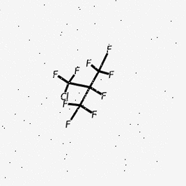 FC(F)(F)C(F)(C(F)(F)F)C(F)(F)Cl